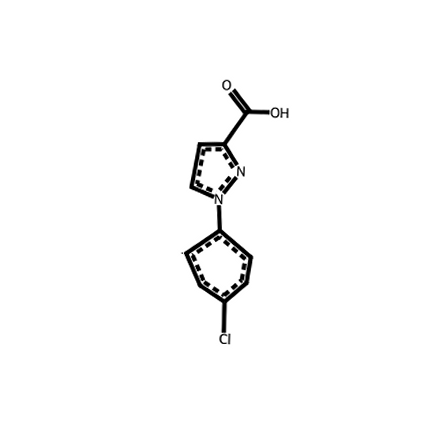 O=C(O)c1ccn(-c2[c]cc(Cl)cc2)n1